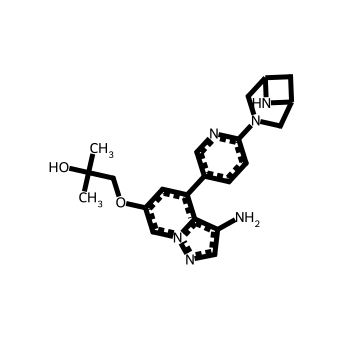 CC(C)(O)COc1cc(-c2ccc(N3CC4CC(C3)N4)nc2)c2c(N)cnn2c1